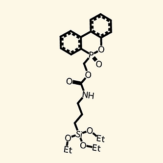 CCO[Si](CCCNC(=O)OCP1(=O)Oc2ccccc2-c2ccccc21)(OCC)OCC